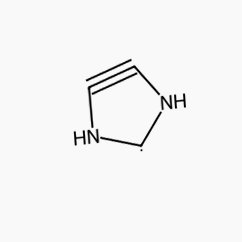 C1#CN[CH]N1